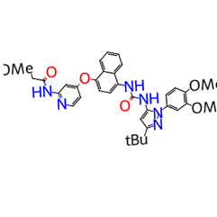 COCC(=O)Nc1cc(Oc2ccc(NC(=O)Nc3cc(C(C)(C)C)nn3-c3ccc(OC)c(OC)c3)c3ccccc23)ccn1